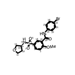 COc1ccc(S(=O)(=O)N[C@H]2CCOC2)cc1C(=O)Nc1ccc(Br)cc1